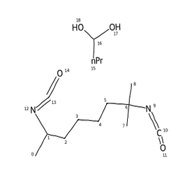 CC(CCCCC(C)(C)N=C=O)N=C=O.CCCC(O)O